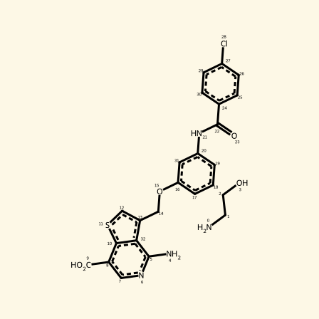 NCCO.Nc1ncc(C(=O)O)c2scc(COc3cccc(NC(=O)c4ccc(Cl)cc4)c3)c12